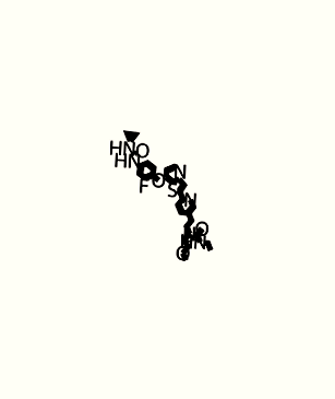 CCNC(=O)N(CCOC)CCc1ccc(-c2cc3nccc(Oc4ccc(NC(=O)NC5CC5)cc4F)c3s2)nc1